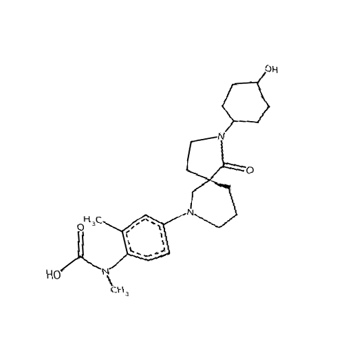 Cc1cc(N2CCC[C@]3(CCN(C4CCC(O)CC4)C3=O)C2)ccc1N(C)C(=O)O